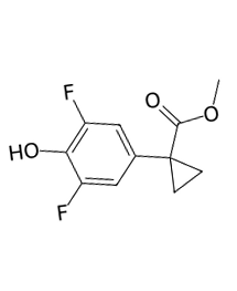 COC(=O)C1(c2cc(F)c(O)c(F)c2)CC1